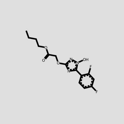 CCCCOC(=O)COc1nc(-c2ccc(F)cc2F)n(O)n1